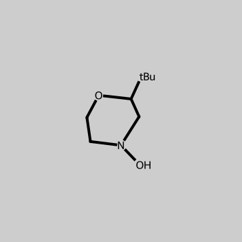 CC(C)(C)C1CN(O)CCO1